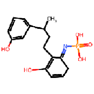 CC(CCC1=C(O)C=CCC1=NP(=O)(O)O)c1cccc(O)c1